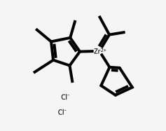 CC1=C(C)C(C)[C]([Zr+2]([C]2=CC=CC2)=[C](C)C)=C1C.[Cl-].[Cl-]